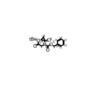 CC(C)(C)OC(=O)CN(C(=O)OCc1ccccc1)C1(C(F)(F)F)CC1